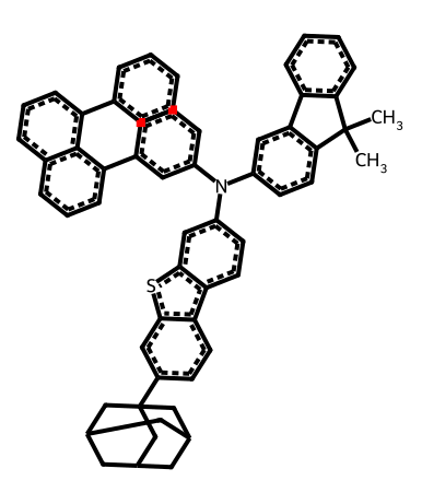 CC1(C)c2ccccc2-c2cc(N(c3cccc(-c4cccc5cccc(-c6ccccc6)c45)c3)c3ccc4c(c3)sc3cc(C56CC7CC(CC(C7)C5)C6)ccc34)ccc21